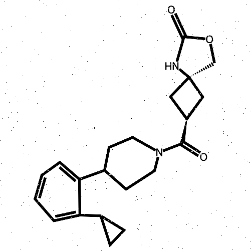 O=C1N[C@]2(CO1)C[C@H](C(=O)N1CCC(c3ccccc3C3CC3)CC1)C2